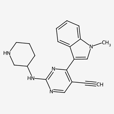 C#Cc1cnc(NC2CCCNC2)nc1-c1cn(C)c2ccccc12